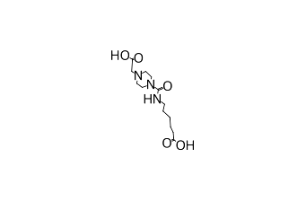 O=C(O)CCCCCNC(=O)N1CCN(CC(=O)O)CC1